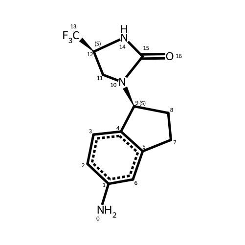 Nc1ccc2c(c1)CC[C@@H]2N1C[C@@H](C(F)(F)F)NC1=O